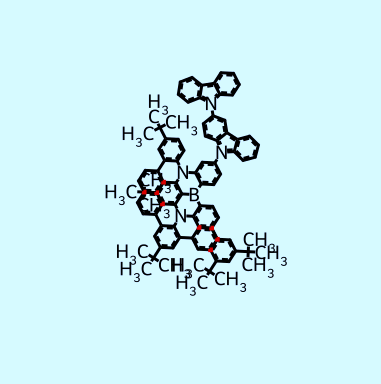 CC(C)(C)c1cc(-c2ccc3c(c2)N(c2c(-c4ccccc4)cc(C(C)(C)C)cc2-c2ccccc2)c2cc(C(C)(C)C)cc4c2B3c2ccc(-n3c5ccccc5c5cc(-n6c7ccccc7c7ccccc76)ccc53)cc2N4c2ccc(C(C)(C)C)cc2-c2ccccc2)cc(C(C)(C)C)c1